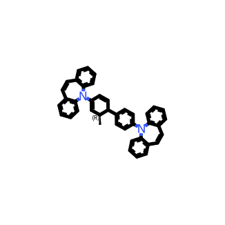 C[C@H]1C=C(N2c3ccccc3C=Cc3ccccc32)C=CC1c1ccc(N2c3ccccc3C=Cc3ccccc32)cc1